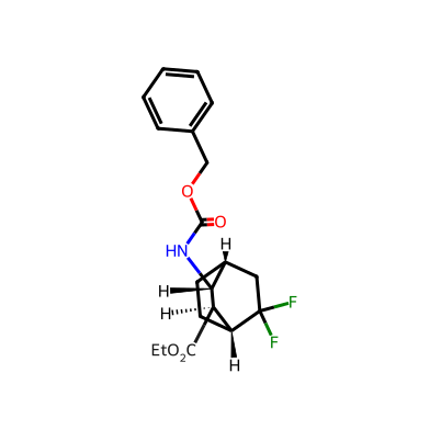 CCOC(=O)[C@H]1[C@H](NC(=O)OCc2ccccc2)[C@@H]2CC[C@H]1C(F)(F)C2